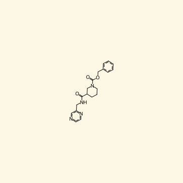 O=C(NCc1cnccn1)C1CCCN(C(=O)OCc2ccccc2)C1